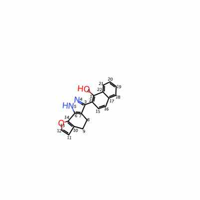 Oc1c(-c2n[nH]c3c2CCc2ccoc2-3)ccc2ccccc12